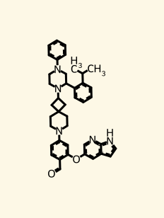 CC(C)c1ccccc1C1CN(c2ccccc2)CCN1C1CC2(CCN(c3ccc(C=O)c(Oc4cnc5[nH]ccc5c4)c3)CC2)C1